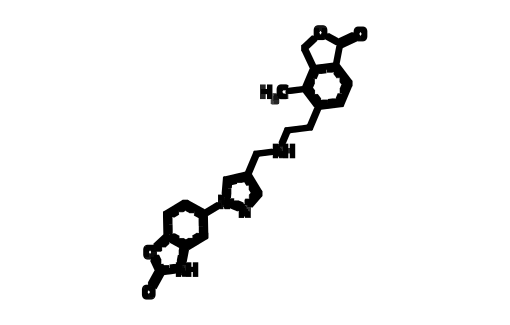 Cc1c(CCNCc2cnn(-c3ccc4oc(=O)[nH]c4c3)c2)ccc2c1COC2=O